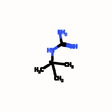 C[Si](C)(C)NC(=N)N